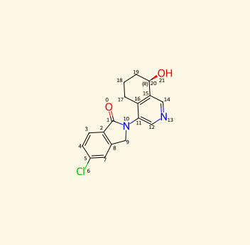 O=C1c2ccc(Cl)cc2CN1c1cncc2c1CCC[C@H]2O